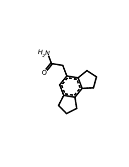 NC(=O)Cc1cc2c(c3c1CCC3)CCC2